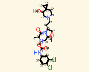 C[C@H]1C(=O)N2[C@@H](CCN3CCC4(CC4)[C@H](O)C3)CO[C@H]2CN1OC(=O)Nc1ccc(Cl)c(Cl)c1